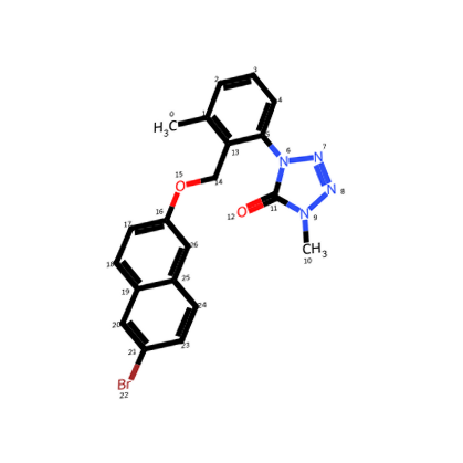 Cc1cccc(-n2nnn(C)c2=O)c1COc1ccc2cc(Br)ccc2c1